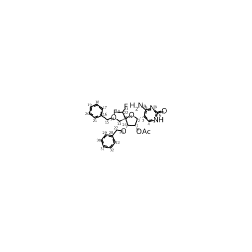 CC(=O)O[C@H]1[C@@H](c2c[nH]c(=O)nc2N)O[C@@](COCc2ccccc2)(C(F)F)[C@H]1OCc1ccccc1